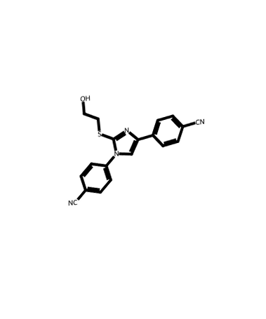 N#Cc1ccc(-c2cn(-c3ccc(C#N)cc3)c(SCCO)n2)cc1